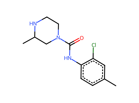 Cc1ccc(NC(=O)N2CCNC(C)C2)c(Cl)c1